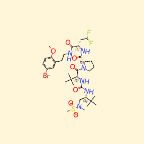 COc1ccc(Br)cc1CCNC(=O)[C@H](CC(F)F)NC(=O)[C@@H]1CCCN1C(=O)[C@@H](NC(=O)N[C@H](CN(C)S(C)(=O)=O)C(C)(C)C)C(C)(C)C